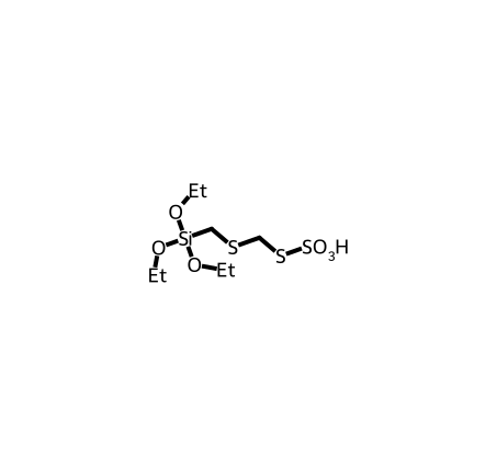 CCO[Si](CSCSS(=O)(=O)O)(OCC)OCC